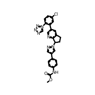 COC(=O)Nc1ccc(-c2cnn(C3CCc4cc(-c5cc(Cl)ccc5-n5cnnn5)cnc43)c2)cc1